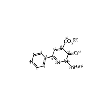 CCCCCCn1nc(-c2ccncc2)cc(C(=O)OCC)c1=O